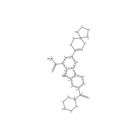 NC(=O)c1cc(C2=CCC3(CC2)OCCO3)cc2c1[nH]c1cc(C(=O)N3CCOCC3)ccc12